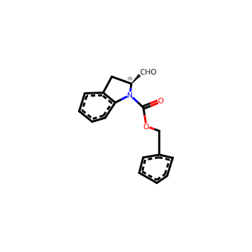 O=C[C@@H]1Cc2ccccc2N1C(=O)OCc1ccccc1